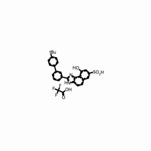 CC(C)(C)c1ccc(-c2cccc(-c3nc4c(ccc5cc(S(=O)(=O)O)cc(O)c54)[nH]3)c2)cc1.O=C(O)C(F)(F)F